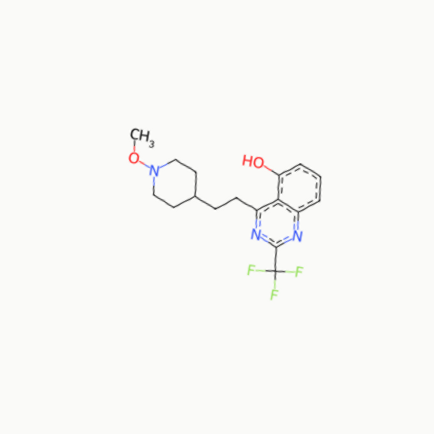 CON1CCC(CCc2nc(C(F)(F)F)nc3cccc(O)c23)CC1